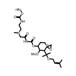 CCCCOC(=O)NCCN(C)CC(=O)NC(=O)OC1CC[C@]2(CO2)C(C(C)(C)OCC=C(C)C)C1OC